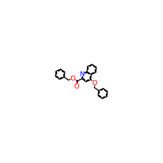 O=C(OCc1ccccc1)c1cc(OCc2ccccc2)c2ccccc2n1